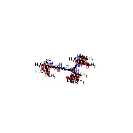 CC(=O)NC1C(OC(C)=O)[C@@H](OC(C)=O)C(COC(C)=O)O[C@H]1OCCCCC(=O)NCCCNCCCN(CCCNO[C@@H]1OC(COC(C)=O)[C@H](OC(C)=O)C(OC(C)=O)C1NC(C)=O)O[C@@H]1OC(COC(C)=O)[C@H](OC(C)=O)C(OC(C)=O)C1NC(C)=O